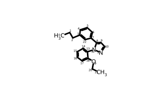 CCCc1cccc(-c2ccnn2-c2ccccc2OCC)c1